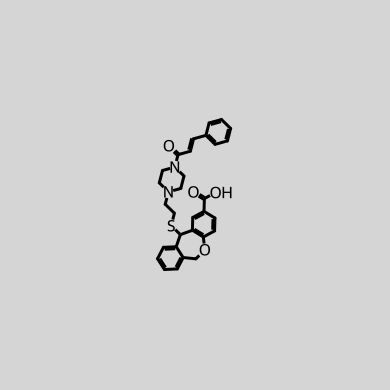 O=C(O)c1ccc2c(c1)C(SCCN1CCN(C(=O)/C=C/c3ccccc3)CC1)c1ccccc1CO2